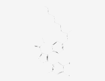 CCNC(=O)c1noc(-c2cc(C(C)C)c(O)cc2O)c1-c1ccc(CN(C)CCCCCCC(=O)OCC)cc1